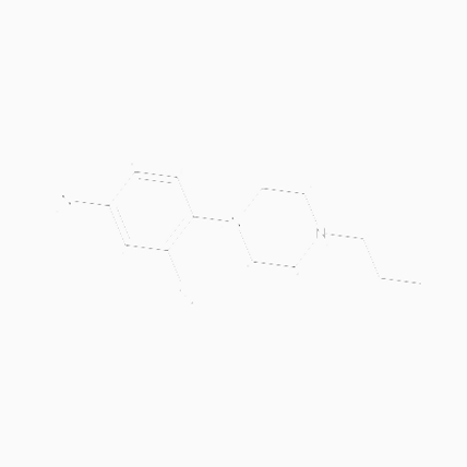 CCCN1CCN(c2ccc(N)cc2Cl)CC1